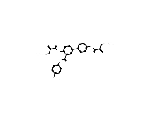 C=C(COC)C(=O)Oc1ccc(-c2ccc(OC(=O)C(=C)COC)c(C(=O)Oc3ccc(CCCCC)cc3)c2)cc1